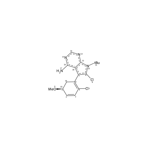 CO[C@@H]1C=CC(Cl)=C(c2c(Cl)n(C(C)(C)C)c3ncnc(N)c23)C1